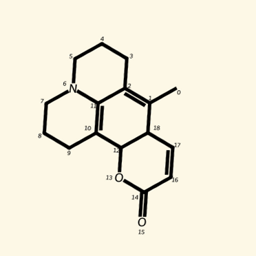 CC1=C2CCCN3CCCC(=C23)C2OC(=O)C=CC12